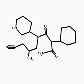 CC(CC#N)CN(C(=O)C(C(N)=O)C1CCCCC1)C1CCCNC1